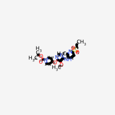 CCCS(=O)(=O)c1ccc(Nc2ncnc(OC3CCN(C(=O)OC(C)C)CC3)c2OC)c(C)n1